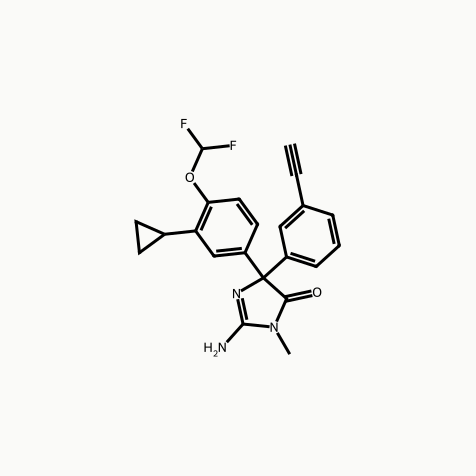 C#Cc1cccc(C2(c3ccc(OC(F)F)c(C4CC4)c3)N=C(N)N(C)C2=O)c1